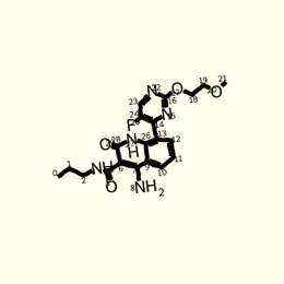 CCCNC(=O)c1c(N)c2cccc(-c3nc(OCCOC)ncc3F)c2[nH]c1=O